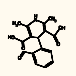 CC1=C(C(=O)O)C(c2ccccc2C=O)C(C(=O)O)=C(C)N1